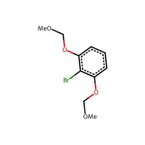 COCOc1cccc(OCOC)c1Br